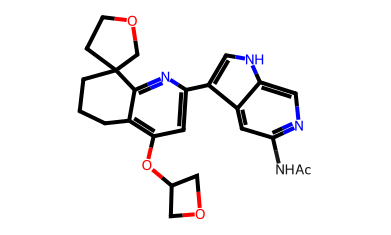 CC(=O)Nc1cc2c(-c3cc(OC4COC4)c4c(n3)C3(CCC4)CCOC3)c[nH]c2cn1